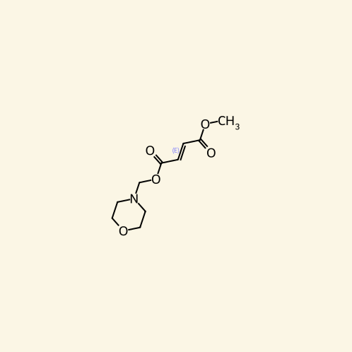 COC(=O)/C=C/C(=O)OCN1CCOCC1